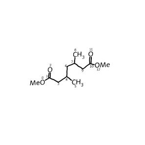 COC(=O)CC(C)CC(C)CC(=O)OC